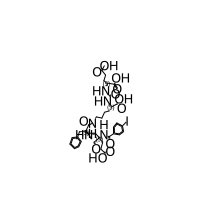 O=C[C@](CCC(=O)O)(CN[C@@H](Cc1ccccc1)C(=O)NCCCC[C@H](NC(=O)N[C@@H](CCC(=O)O)C(=O)O)C(=O)O)NC(=O)c1ccc(I)cc1